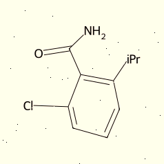 CC(C)c1cccc(Cl)c1C(N)=O